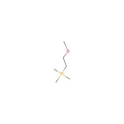 COCC[P+](C)(C)C